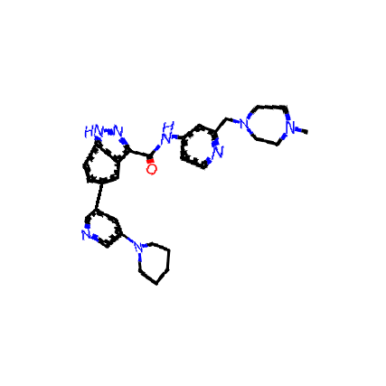 CN1CCN(Cc2cc(NC(=O)c3n[nH]c4ccc(-c5cncc(N6CCCCC6)c5)cc34)ccn2)CC1